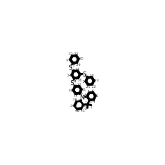 CC1(C)c2ccccc2N(c2ccc(Sc3cc(Sc4ccccc4)cc(Sc4ccccc4)c3)cc2)C2C=CC=CC21